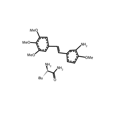 CC[C@@H](C)[C@@H](N)C(N)=O.COc1ccc(C=Cc2cc(OC)c(OC)c(OC)c2)cc1N